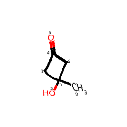 CC1(O)CC(=O)C1